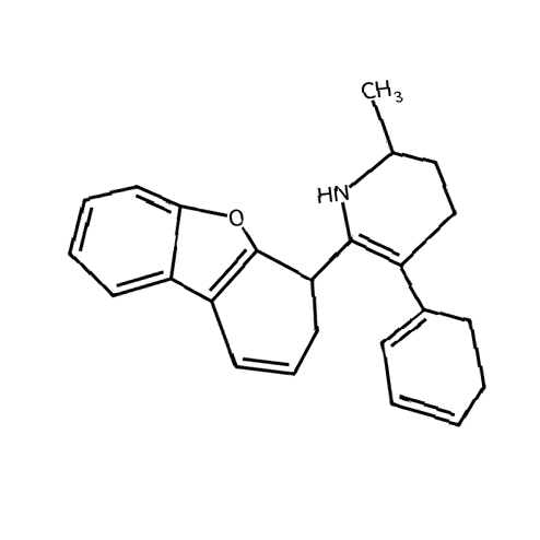 CC1CCC(C2=CC=CCC2)=C(C2CC=Cc3c2oc2ccccc32)N1